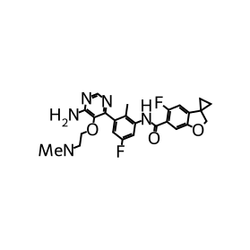 CNCCOc1c(N)ncnc1-c1cc(F)cc(NC(=O)c2cc3c(cc2F)C2(CC2)CO3)c1C